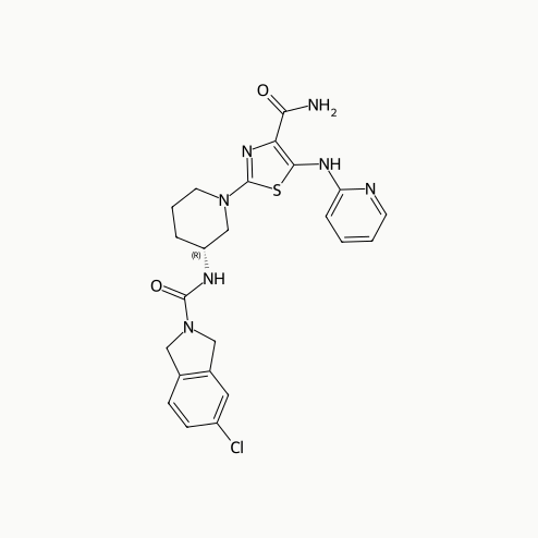 NC(=O)c1nc(N2CCC[C@@H](NC(=O)N3Cc4ccc(Cl)cc4C3)C2)sc1Nc1ccccn1